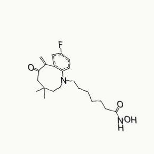 C=C1C(=O)CC(C)(C)CCN(CCCCCCC(=O)NO)c2ccc(F)cc21